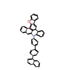 c1ccc(N(c2ccc(-c3ccc(-c4cccc5ccccc45)cc3)cc2)c2ccc3ccccc3c2)c(-c2ccc3oc4ccccc4c3c2)c1